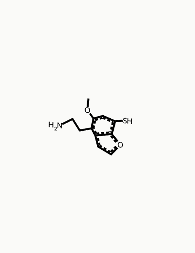 COc1cc(S)c2occc2c1CCN